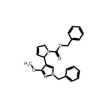 COc1nn(Cc2ccccc2)cc1C1C=CCN1C(=O)OCc1ccccc1